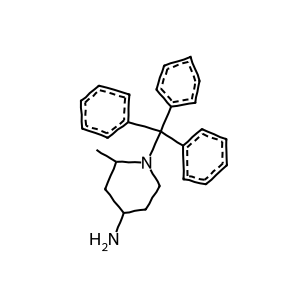 CC1CC(N)CCN1C(c1ccccc1)(c1ccccc1)c1ccccc1